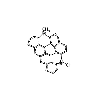 COc1ccc2ccc(OC)c(-c3cccc4cccc(Br)c34)c2c1-c1cccc2cccc(Br)c12